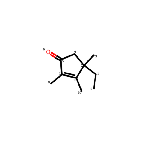 CCC1(C)CC(=O)C(C)=C1C